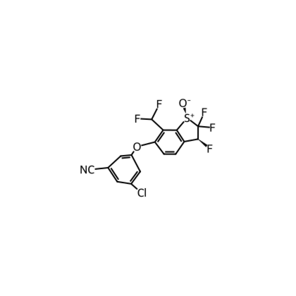 N#Cc1cc(Cl)cc(Oc2ccc3c(c2C(F)F)[S@@+]([O-])C(F)(F)[C@H]3F)c1